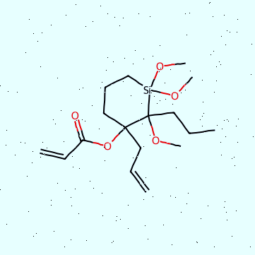 C=CCC1(OC(=O)C=C)CCC[Si](OC)(OC)C1(CCC)OC